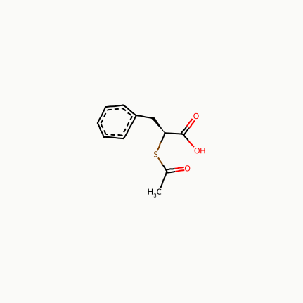 CC(=O)S[C@@H](Cc1ccccc1)C(=O)O